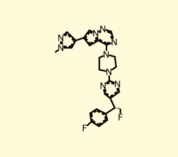 Cn1cc(-c2cc3c(N4CCN(c5ncc([C@H](CF)c6ccc(F)cc6)cn5)CC4)ncnn3c2)cn1